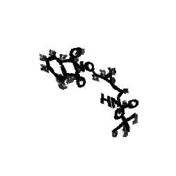 CC(C)(C)OC(=O)NCC1CC1CON1C(=O)c2ccccc2C1=O